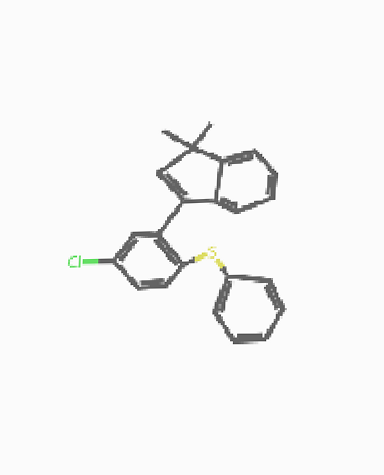 CC1(C)C=C(c2cc(Cl)ccc2Sc2ccccc2)c2ccccc21